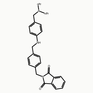 CCCN(CCC)Cc1ccc(NCc2ccc(CN3C(=O)c4ccccc4C3=O)cc2)cc1